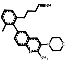 Cc1cccc(CCCC=N)c1-c1ccc2nc(N)c(N3CCOCC3)cc2c1